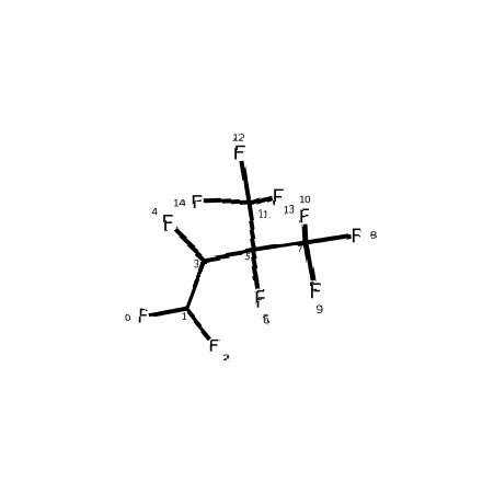 FC(F)C(F)C(F)(C(F)(F)F)C(F)(F)F